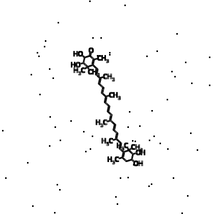 CC1=C(/C=C/C(C)=C/C=C/C(C)=C/C=C/C=C(C)/C=C/C=C(C)/C=C/C2=C(C)C(=O)C(O)C(O)C2(C)C)C(C)(C)C(O)C(O)C1